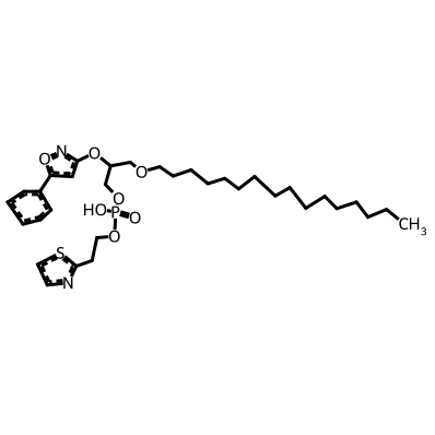 CCCCCCCCCCCCCCCCOCC(COP(=O)(O)OCCc1nccs1)Oc1cc(-c2ccccc2)on1